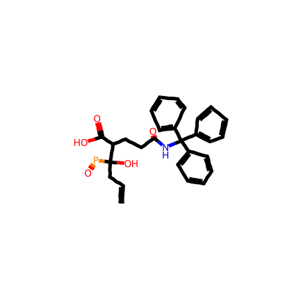 C=CCC(O)(P=O)C(CCC(=O)NC(c1ccccc1)(c1ccccc1)c1ccccc1)C(=O)O